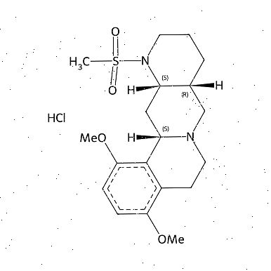 COc1ccc(OC)c2c1CCN1C[C@H]3CCCN(S(C)(=O)=O)[C@H]3C[C@@H]21.Cl